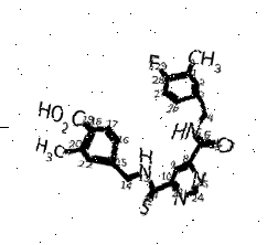 Cc1cc(CNC(=O)c2cc(C(=S)NCc3ccc(C(=O)O)c(C)c3)ncn2)ccc1F